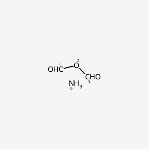 N.O=COC=O